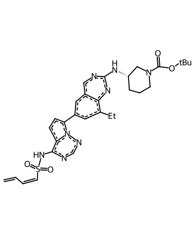 C=C/C=C\S(=O)(=O)Nc1ncnn2c(-c3cc(CC)c4nc(N[C@H]5CCCN(C(=O)OC(C)(C)C)C5)ncc4c3)ccc12